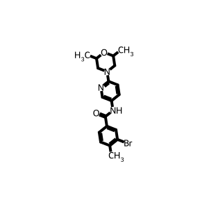 Cc1ccc(C(=O)Nc2ccc(N3CC(C)OC(C)C3)nc2)cc1Br